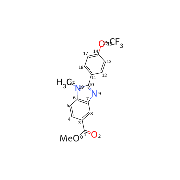 COC(=O)c1ccc2c(c1)nc(-c1ccc(OC(F)(F)F)cc1)n2C